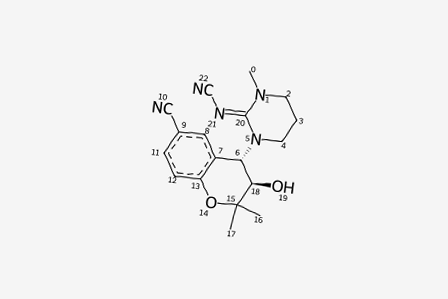 CN1CCCN([C@H]2c3cc(C#N)ccc3OC(C)(C)[C@@H]2O)C1=NC#N